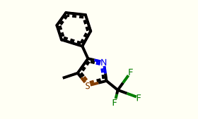 Cc1sc(C(F)(F)F)nc1-c1ccccc1